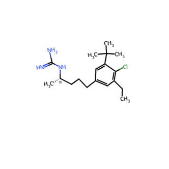 CCc1cc(CCC[C@H](C)NC(=N)N)cc(C(C)(C)C)c1Cl